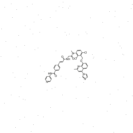 Cc1cc(-n2ccnc2)c2cccc(OCc3c(Cl)ccc(N(C)C(=O)CNC(=O)C=Cc4ccc(C(=O)Nc5ccncc5)cc4)c3Cl)c2n1